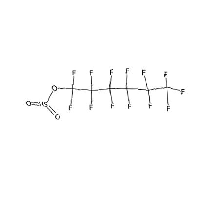 O=[SH](=O)OC(F)(F)C(F)(F)C(F)(F)C(F)(F)C(F)(F)C(F)(F)F